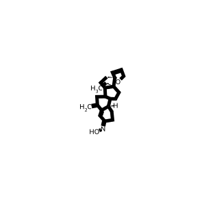 C=C1CC2C(CC[C@@]3(CC)C2CC[C@@]32C=CCO2)[C@H]2CCC(=NO)C=C12